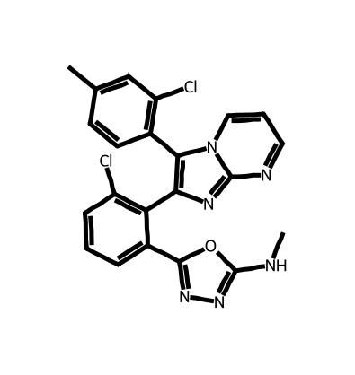 CNc1nnc(-c2cccc(Cl)c2-c2nc3ncccn3c2-c2ccc(C)[c]c2Cl)o1